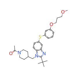 COCCCOc1cccc(Sc2ccc3c(c2)nc(C(C)(C)C)n3CC2CCN(C(C)=O)CC2)c1